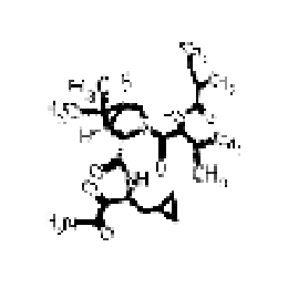 CCC(C)C(=O)NC(C(=O)N1C[C@H]2[C@@H]([C@H]1C(=O)NC(CC1CC1)C(=O)C(N)=O)C2(C)C)C(C)C